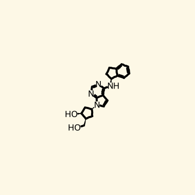 OC[C@@H]1C[C@@H](n2ccc3c(N[C@H]4CCc5ccccc54)ncnc32)C[C@@H]1O